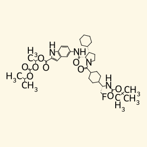 CC(C)OC(=O)OC(C)OC(=O)c1cc2cc(NC(=O)[C@@H]3[C@H](C4CCCCC4)CCN3C(=O)C3CCC([C@@H](CF)NC(=O)OC(C)(C)C)CC3)ccc2[nH]1